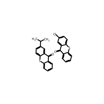 CC(C)c1ccc2sc3ccccc3c(=O)c2c1.O=c1c2ccccc2sc2ccc(Cl)cc12